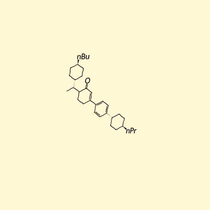 CCCC[C@H]1CC[C@H](C(C)C2CCC(c3ccc([C@H]4CC[C@H](CCC)CC4)cc3)=CC2=O)CC1